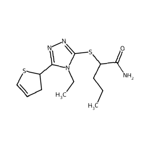 CCCC(Sc1nnc(C2CC=CS2)n1CC)C(N)=O